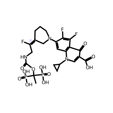 CC(OC(=O)NC/C(F)=C1/CCCN(c2cc3c(c(F)c2F)c(=O)c(C(=O)O)cn3C2CC2)C1)(P(=O)(O)O)P(=O)(O)O